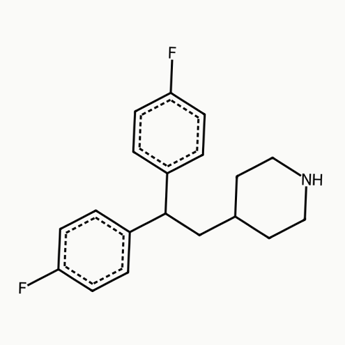 Fc1ccc(C(CC2CCNCC2)c2ccc(F)cc2)cc1